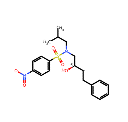 CC(C)CN(C[C@H](O)[CH]Cc1ccccc1)S(=O)(=O)c1ccc([N+](=O)[O-])cc1